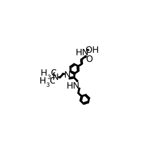 CN(C)CCn1cc(CNCCc2ccccc2)c2cc(/C=C/C(=O)NO)ccc21